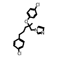 CC(CCCc1ccc(Cl)cc1)(Cn1ccnc1)Oc1ccc(Cl)cc1